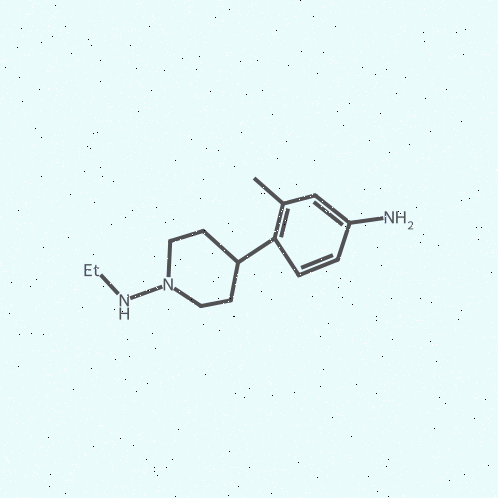 CCNN1CCC(c2ccc(N)cc2C)CC1